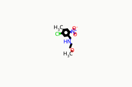 COCCNCc1cc(Cl)c(C)cc1[N+](=O)[O-]